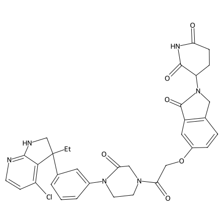 CCC1(c2cccc(N3CCN(C(=O)COc4ccc5c(c4)C(=O)N(C4CCC(=O)NC4=O)C5)CC3=O)c2)CNc2nccc(Cl)c21